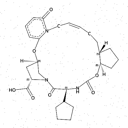 O=C1N[C@@H](C2CCCC2)C(=O)N2C[C@@H](C[C@H]2C(=O)O)Oc2cccc(=O)n2CC=CCC[C@@H]2CCC[C@H]2O1